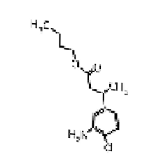 CCCCOC(=O)C[C@@H](C)c1ccc(Cl)c(N)c1